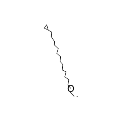 [CH2]COCCCCCCCCCCCCCCC1CC1